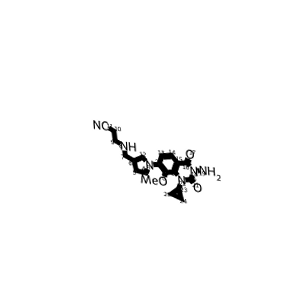 COc1c(N2CCC(CNCCC#N)C2)ccc2c(=O)n(N)c(=O)n(C3CC3)c12